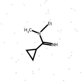 CCN(C)C(=N)C1CC1